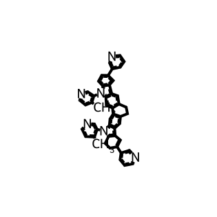 Cc1ccncc1-n1c2c(c3cc4c(cc31)-c1cc3c(cc1CC4)c1cc(-c4cccnc4)ccc1n3-c1cnccc1C)C=C(c1cccnc1)CC2